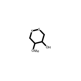 COC1CSSCC1O